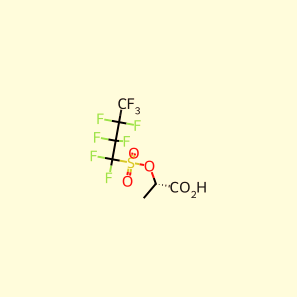 C[C@H](OS(=O)(=O)C(F)(F)C(F)(F)C(F)(F)C(F)(F)F)C(=O)O